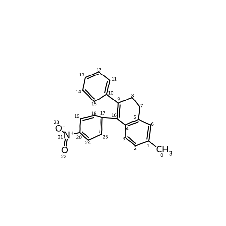 Cc1ccc2c(c1)CCC(c1ccccc1)=C2c1ccc([N+](=O)[O-])cc1